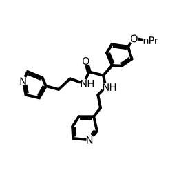 CCCOc1ccc(C(NCCc2cccnc2)C(=O)NCCc2ccncc2)cc1